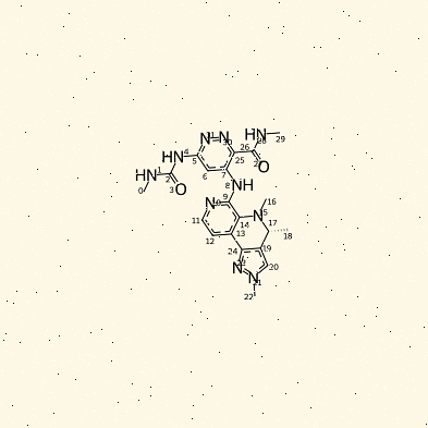 CNC(=O)Nc1cc(Nc2nccc3c2N(C)[C@H](C)c2cn(C)nc2-3)c(C(=O)NC)nn1